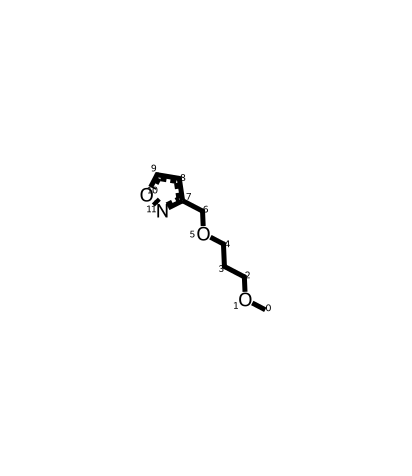 COCCCOCc1ccon1